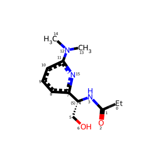 CCC(=O)N[C@H](CO)c1cccc(N(C)C)n1